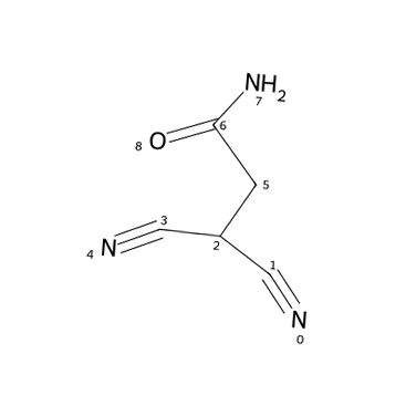 N#CC(C#N)CC(N)=O